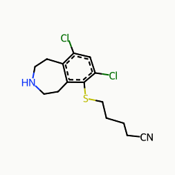 N#CCCCCSc1c(Cl)cc(Cl)c2c1CCNCC2